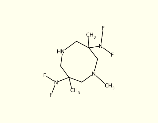 CN1CC(C)(N(F)F)CNCC(C)(N(F)F)C1